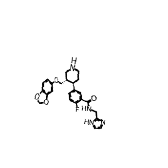 O=C(NCc1ncc[nH]1)c1cc([C@@H]2CCNC[C@H]2COc2ccc3c(c2)OCO3)ccc1F